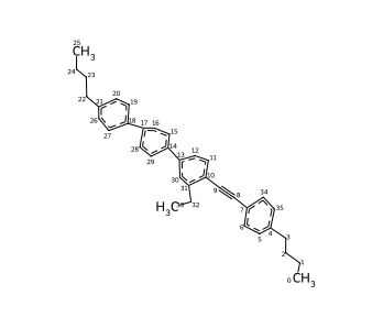 CCCCc1ccc(C#Cc2ccc(-c3ccc(-c4ccc(CCCC)cc4)cc3)cc2CC)cc1